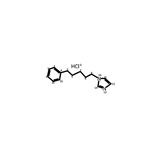 Cl.c1ccc(CCCCCn2ccnc2)cc1